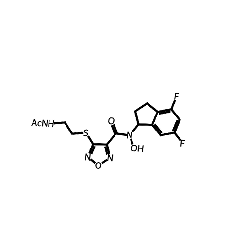 CC(=O)NCCSc1nonc1C(=O)N(O)C1CCc2c(F)cc(F)cc21